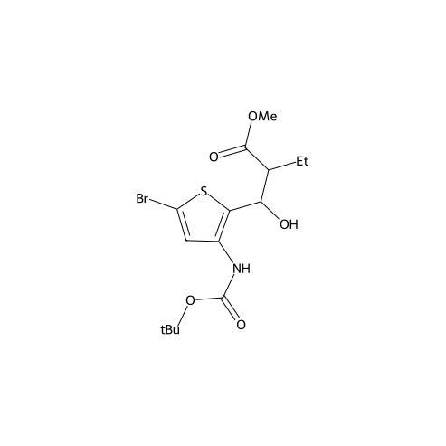 CCC(C(=O)OC)C(O)c1sc(Br)cc1NC(=O)OC(C)(C)C